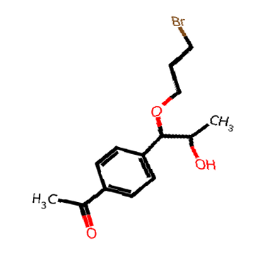 CC(=O)c1ccc(C(OCCCBr)C(C)O)cc1